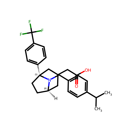 CC(C)c1ccc(CN2[C@@H]3CC[C@@]2(c2ccc(C(F)(F)F)cc2)CC(CC(=O)O)C3)cc1